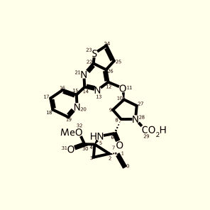 C=C[C@@H]1C[C@]1(NC(=O)[C@@H]1C[C@@H](Oc2nc(-c3ccccn3)nc3sccc23)CN1C(=O)O)C(=O)OC